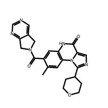 Cc1cc2c(cc1C(=O)N1Cc3cncnc3C1)[nH]c(=O)c1cnc(C3CCOCC3)n12